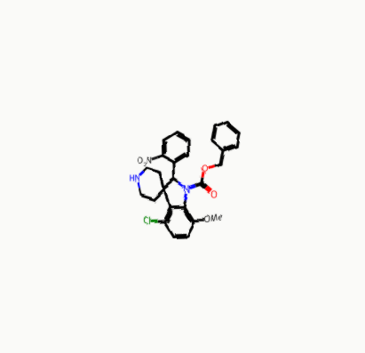 COc1ccc(Cl)c2c1N(C(=O)OCc1ccccc1)C(c1ccccc1[N+](=O)[O-])C21CCNCC1